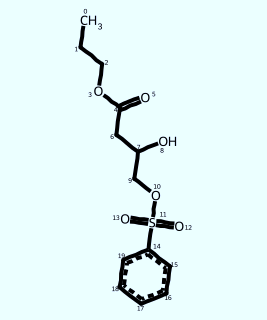 CCCOC(=O)CC(O)COS(=O)(=O)c1ccccc1